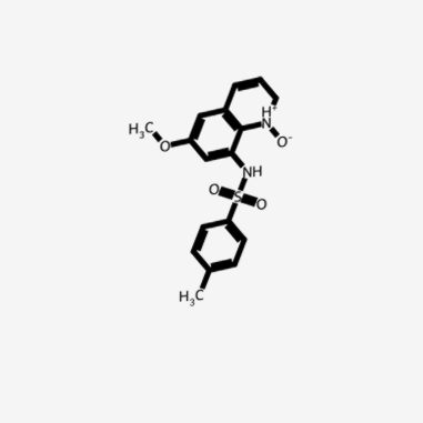 COc1cc2c(c(NS(=O)(=O)c3ccc(C)cc3)c1)[NH+]([O-])CC=C2